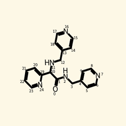 O=C(NCc1ccncc1)C(NCc1ccncc1)c1ccccn1